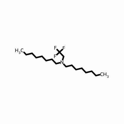 CCCCCCCCN(CCCCCCCC)CC(F)(F)F